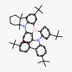 Cc1cc2c3c(c1)N1c4c(cc(C(C)(C)C)cc4C4(C)CCCCC14C)B3c1ccc(C(C)(C)C)cc1N2c1ccc(C(C)(C)C)cc1-c1ccc(C(C)(C)C)cc1